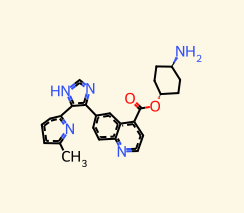 Cc1cccc(-c2[nH]cnc2-c2ccc3nccc(C(=O)O[C@H]4CC[C@H](N)CC4)c3c2)n1